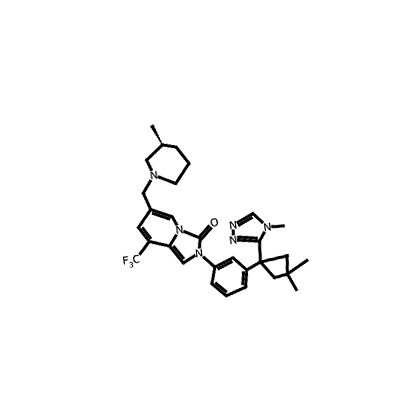 C[C@H]1CCCN(Cc2cc(C(F)(F)F)c3cn(-c4cccc(C5(c6nncn6C)CC(C)(C)C5)c4)c(=O)n3c2)C1